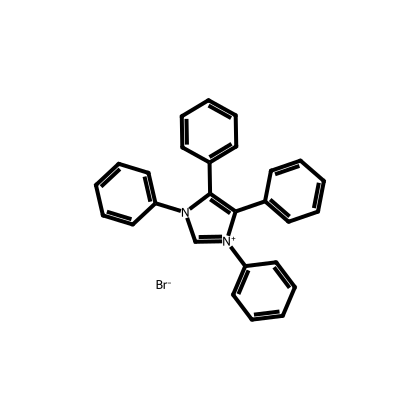 [Br-].c1ccc(-c2c(-c3ccccc3)[n+](-c3ccccc3)cn2-c2ccccc2)cc1